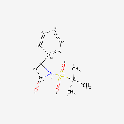 CC(C)(C)S(=O)(=O)N1C(=O)CC1c1ccccc1